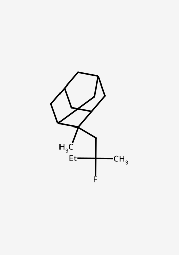 CCC(C)(F)CC1(C)C2CC3CC(C2)CC1C3